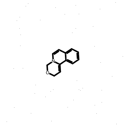 C1=CN2COCC=C2c2ccccc21